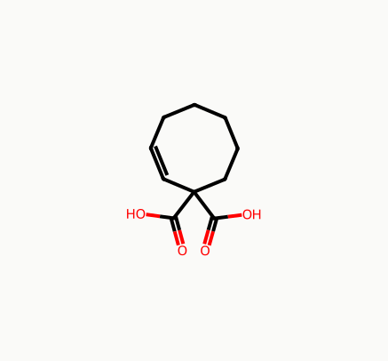 O=C(O)C1(C(=O)O)C=CCCCCC1